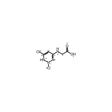 O=C(O)CNC1=NN(Cl)NC(Cl)=C1